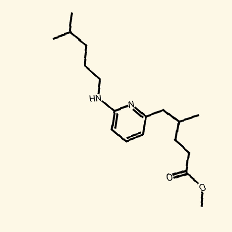 COC(=O)CCC(C)Cc1cccc(NCCCC(C)C)n1